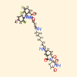 O=C1CCC(N2C(=O)c3ccc(NCCCCCCCCNCCCONC(=O)c4ccc(F)c(F)c4Nc4ccc(I)cc4F)cc3C2=O)C(=O)N1